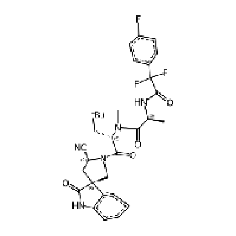 C[C@H](NC(=O)C(F)(F)c1ccc(F)cc1)C(=O)N(C)[C@@H](CC(C)(C)C)C(=O)N1C[C@]2(C[C@H]1C#N)C(=O)Nc1ccccc12